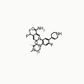 C[C@@H]1CN(c2cc(F)c(C3=CCNCC3)cc2-n2cc(C(N)=O)c(C(F)F)cc2=O)C[C@H](C)N1C